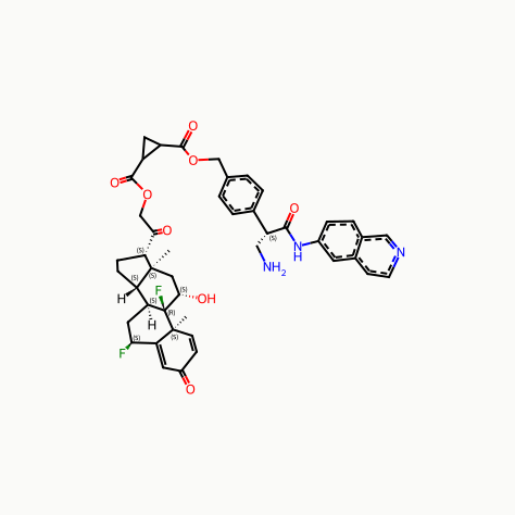 C[C@]12C[C@H](O)[C@@]3(F)[C@@H](C[C@H](F)C4=CC(=O)C=C[C@@]43C)[C@@H]1CC[C@@H]2C(=O)COC(=O)C1CC1C(=O)OCc1ccc([C@@H](CN)C(=O)Nc2ccc3cnccc3c2)cc1